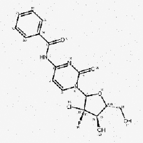 O=C(Nc1ccn(C2O[C@H](CO)[C@@H](O)[C@]2(F)Cl)c(=O)n1)c1ccccc1